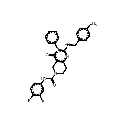 Cc1ccc(CNc2nc3c(c(=O)n2-c2ccccc2)CN(C(=O)Nc2ccc(F)c(F)c2)CC3)cc1